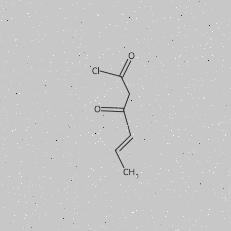 C/C=C/C(=O)CC(=O)Cl